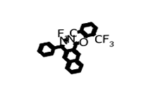 FC(F)(F)c1cccc(C(F)(F)F)c1Oc1nnc(-c2ccccc2)c2cc3ccccc3cc12